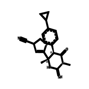 CN1C(=N)N[C@](C)(C2=CC(C#N)CS2)[C@@H](c2ccc(C3CC3)cc2)C1=O